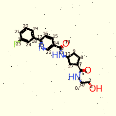 C[C@@H](CO)NC(=O)[C@@H]1CCC(NC(=O)c2ccc(-c3cccc(F)c3)nc2)C1